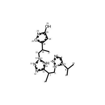 CC(C[n+]1nncn1C(C)C)c1nn[n+](CC(C)c2cc(O)no2)[nH]1